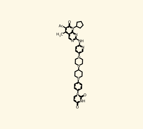 CC(=O)c1c(C)c2cnc(Nc3ccc(N4CCN(C5CCN(c6ccc(-n7ccc(=O)[nH]c7=O)cc6)CC5)CC4)cn3)nc2n(C2CCCC2)c1=O